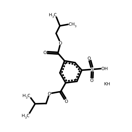 CC(C)COC(=O)c1cc(C(=O)OCC(C)C)cc(S(=O)(=O)O)c1.[KH]